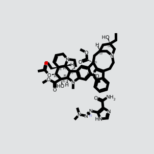 CC[C@]1(O)C[C@H]2CN(CCc3c([nH]c4ccccc34)[C@@](C(=O)OC)(c3cc4c(cc3OC)N(C)[C@H]3[C@@](O)(C(=O)OC)[C@H](OC(C)=O)[C@]5(CC)C=CCN6CC[C@]43[C@@H]65)C2)C1.CN(C)/N=N/c1[nH]cnc1C(N)=O